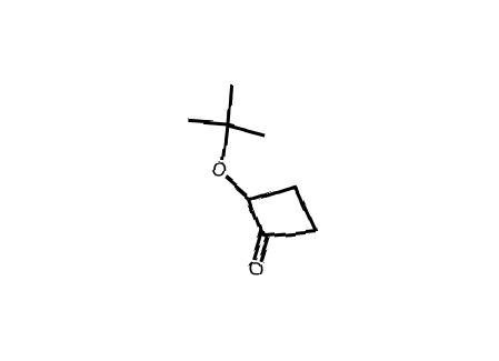 CC(C)(C)OC1CCC1=O